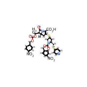 C[C@@H](OC(=O)OCc1ccc([N+](=O)[O-])cc1)[C@H]1C(=O)N2C(C(=O)O)=C(S[C@H]3C[C@@H](CSc4ccncc4)N(C(=O)OCc4ccc([N+](=O)[O-])cc4)C3)C[C@H]12